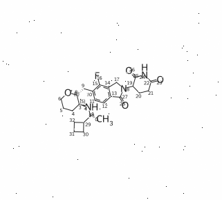 C[C@@H](N[C@H]1CCCO[C@@H]1Cc1ccc2c(c1F)CN(C1CCC(=O)NC1=O)C2=O)C1CCC1